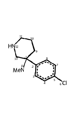 CNC1(c2ccc(Cl)cc2)CCCNC1